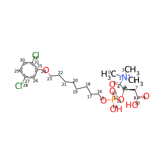 C[N+](C)(C)C([O-])[C@@H](CC(=O)O)OP(=O)(O)OCCCCCCCCOc1cc(Cl)ccc1Cl